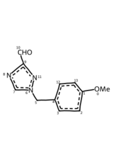 COc1ccc(Cn2cnc(C=O)n2)cc1